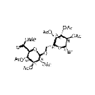 COC(=O)C1OC(OC[C@H]2O[C@@H](Br)[C@H](OC(C)=O)[C@@H](OC(C)=O)[C@H]2OC(C)=O)[C@H](OC(C)=O)[C@@H](OC(C)=O)[C@@H]1OC(C)=O